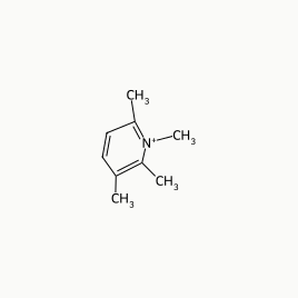 Cc1ccc(C)[n+](C)c1C